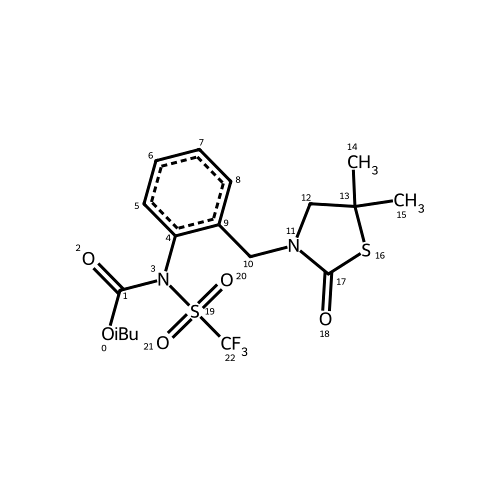 CC(C)COC(=O)N(c1ccccc1CN1CC(C)(C)SC1=O)S(=O)(=O)C(F)(F)F